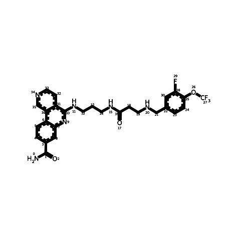 NC(=O)c1ccc2c(c1)nc(NCCCNC(=O)CCNCc1ccc(OC(F)(F)F)c(F)c1)c1ccncc12